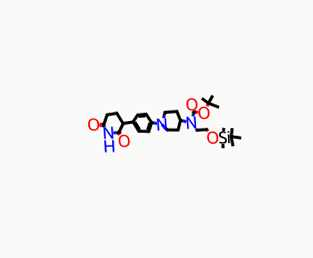 CC(C)(C)OC(=O)N(CCO[Si](C)(C)C(C)(C)C)C1CCN(c2ccc(C3CCC(=O)NC3=O)cc2)CC1